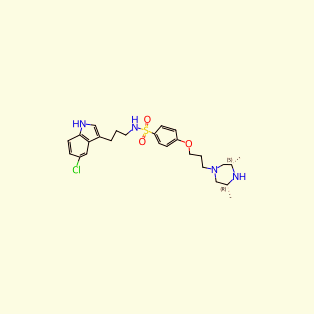 C[C@@H]1CN(CCCOc2ccc(S(=O)(=O)NCCCc3c[nH]c4ccc(Cl)cc34)cc2)C[C@H](C)N1